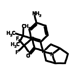 CC(C)(C)OC(=O)N1CC2CCC(C1)N2Cc1ccc(N)cc1C(F)(F)F